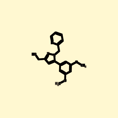 COc1cc(OC)cc(-c2cc(CO)nn2Cc2ccccn2)c1